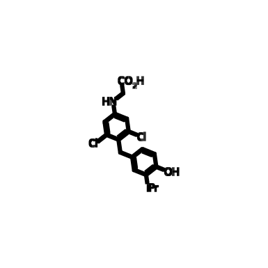 CC(C)c1cc(Cc2c(Cl)cc(NCC(=O)O)cc2Cl)ccc1O